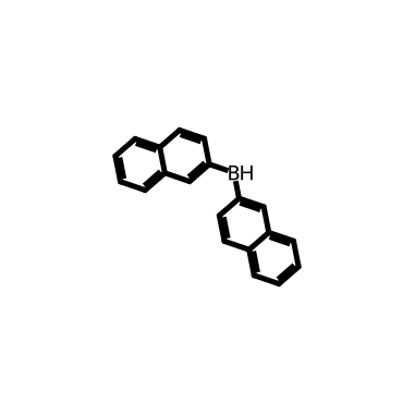 B(c1ccc2ccccc2c1)c1ccc2ccccc2c1